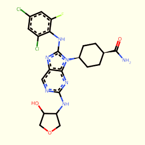 NC(=O)[C@H]1CC[C@@H](n2c(Nc3c(F)cc(Cl)cc3Cl)nc3cnc(NC4COCC4O)nc32)CC1